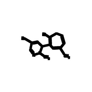 CCC1=C(C2C=C(Br)C=NN2C)C=C(C)C=CC1